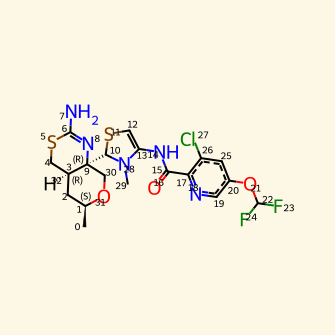 C[C@H]1C[C@H]2CSC(N)=N[C@@]2(C2SC=C(NC(=O)c3ncc(OC(F)F)cc3Cl)N2C)CO1